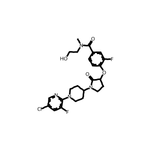 CN(CCO)C(=O)c1ccc(OC2CCN(C3CCN(c4ncc(Cl)cc4F)CC3)C2=O)c(F)c1